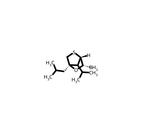 B[C@@H]1O[C@@]2(CC(C)C)CS[C@H]1C2C(C)C